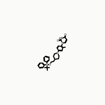 Cc1cc(N2CCC(CCO[Si](c3ccccc3)(c3ccccc3)C(C)(C)C)CC2)ccc1-n1ccc(=O)[nH]c1=O